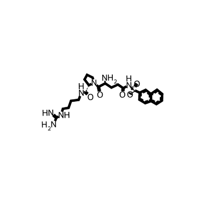 N=C(N)NCCCCNC(=O)[C@@H]1CCCN1C(=O)[C@@H](N)CCC(=O)NS(=O)(=O)c1ccc2ccccc2c1